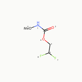 CONC(=O)OCC(F)F